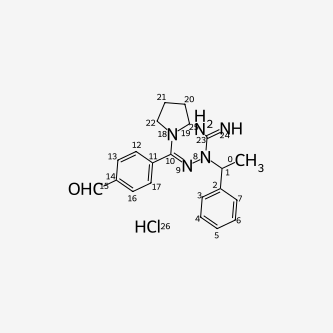 CC(c1ccccc1)N(N=C(c1ccc(C=O)cc1)N1CCCC1)C(=N)N.Cl